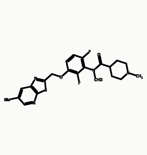 CN1CCC(C(=O)N(C=O)c2c(F)ccc(OCc3nc4cc(C(C)(C)C)cnc4s3)c2F)CC1